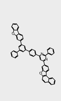 c1ccc(-c2cc(-c3ccc(-c4cc(-c5ccc6c(c5)oc5ccc7ccccc7c56)nc(-c5ccccc5)n4)cc3)cc(-c3ccc4c(c3)oc3ccccc34)c2)cc1